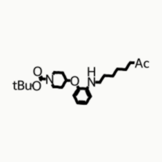 CC(=O)CCCCCCNc1ccccc1OC1CCN(C(=O)OC(C)(C)C)CC1